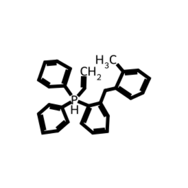 C=C[PH](c1ccccc1)(c1ccccc1)c1ccccc1Cc1ccccc1C